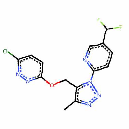 Cc1nnn(-c2ccc(C(F)F)cn2)c1COc1ccc(Cl)nn1